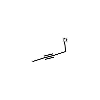 [CH]CCC#CC